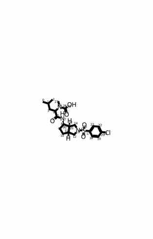 CC(C)CC(C(=O)N[C@@H]1CC[C@H]2CN(S(=O)(=O)c3ccc(Cl)cc3)C[C@H]21)N(C)C(=O)O